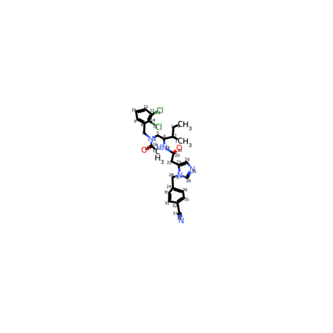 CCC(C)C(CN(Cc1cccc(Cl)c1Cl)C(C)=O)NC(=O)Cc1cncn1Cc1ccc(C#N)cc1